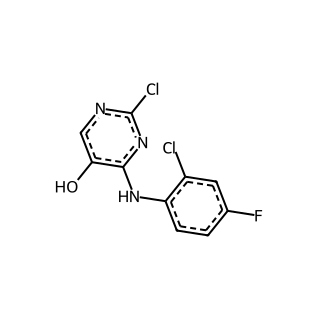 Oc1cnc(Cl)nc1Nc1ccc(F)cc1Cl